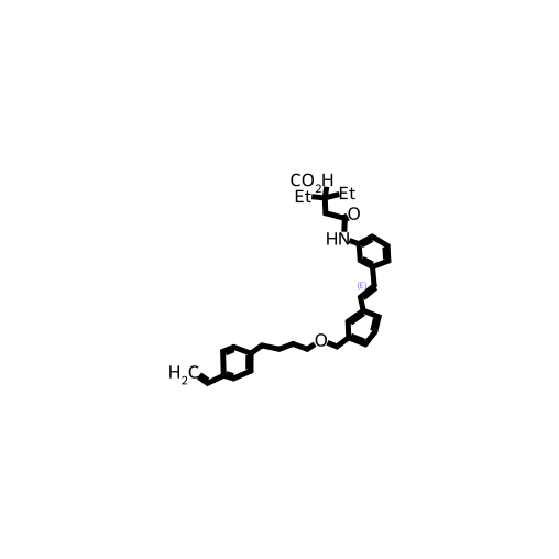 C=Cc1ccc(CCCCOCc2cccc(/C=C/c3cccc(NC(=O)CC(CC)(CC)C(=O)O)c3)c2)cc1